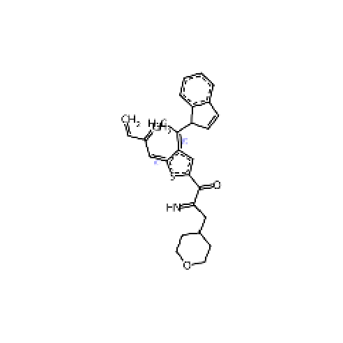 C=CC(=C)/C=c1/sc(C(=O)C(=N)CC2CCOCC2)c/c1=C(/C)C1C=Cc2ccccc21